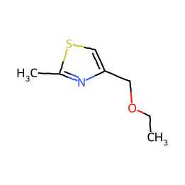 CCOCc1csc(C)n1